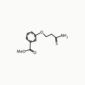 COC(=O)c1cccc(OCCC(N)=S)c1